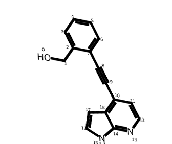 OCc1ccccc1C#Cc1ccnc2[nH]ccc12